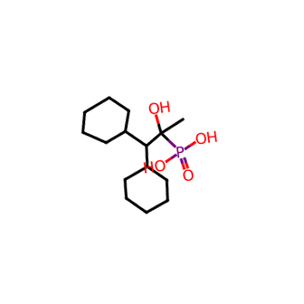 CC(O)(C(C1CCCCC1)C1CCCCC1)P(=O)(O)O